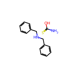 NC(O)=S.c1ccc(CNCc2ccccc2)cc1